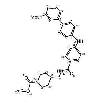 COc1cccc(-c2ccc(Nc3ccc(C(=O)NCC4CCN(C(=O)OC(C)(C)C)CC4)cc3)cc2)c1